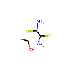 CCO.NC(=S)C(N)=S